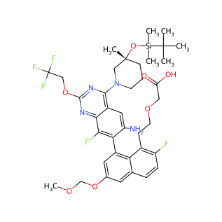 COCOc1cc(-c2c(N)cc3c(N4CCC[C@@](C)(O[Si](C)(C)C(C)(C)C)C4)nc(OCC(F)(F)F)nc3c2F)c2c(CCOCC(=O)O)c(F)ccc2c1